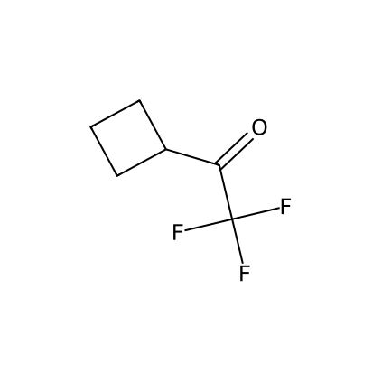 O=C(C1CCC1)C(F)(F)F